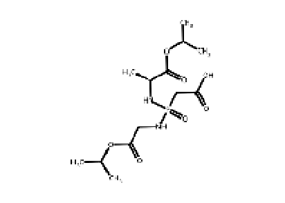 CC(C)OC(=O)CNP(=O)(CC(=O)O)N[C@@H](C)C(=O)OC(C)C